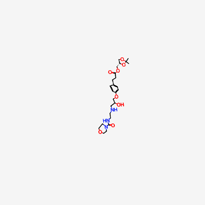 CC1(C)OC[C@@H](COC(=O)CCc2ccc(OC[C@@H](O)CNCCNC(=O)N3CCOCC3)cc2)O1